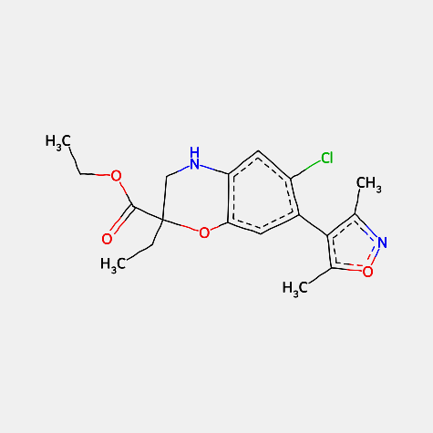 CCOC(=O)C1(CC)CNc2cc(Cl)c(-c3c(C)noc3C)cc2O1